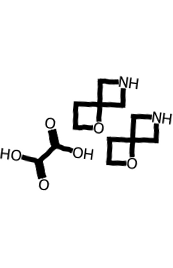 C1CC2(CNC2)O1.C1CC2(CNC2)O1.O=C(O)C(=O)O